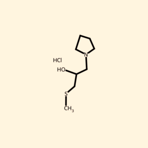 CSCC(O)CN1CCCC1.Cl